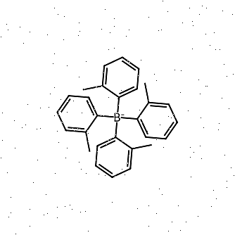 Cc1ccccc1[B-](c1ccccc1C)(c1ccccc1C)c1ccccc1C